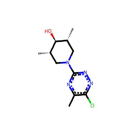 Cc1nc(N2C[C@@H](C)[C@H](O)[C@@H](C)C2)nnc1Cl